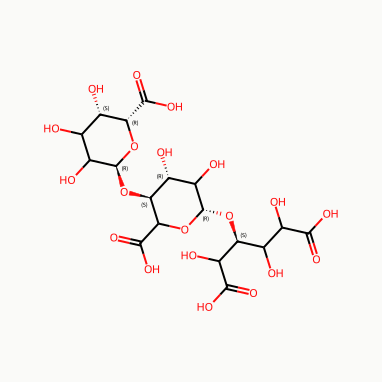 O=C(O)C(O)C(O)[C@H](O[C@@H]1OC(C(=O)O)[C@@H](O[C@@H]2O[C@@H](C(=O)O)[C@@H](O)C(O)C2O)[C@H](O)C1O)C(O)C(=O)O